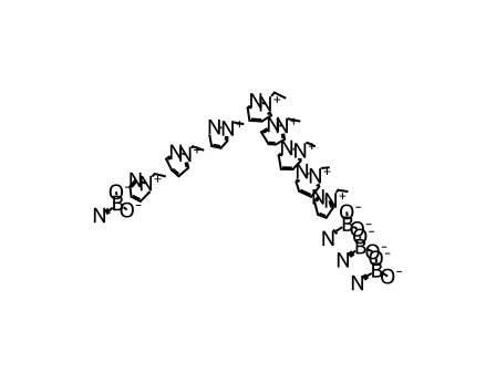 CC[n+]1ccccn1.CC[n+]1ccccn1.CC[n+]1ccccn1.CC[n+]1ccccn1.CC[n+]1ccccn1.CC[n+]1ccccn1.CC[n+]1ccccn1.CC[n+]1ccccn1.N#CB([O-])[O-].N#CB([O-])[O-].N#CB([O-])[O-].N#CB([O-])[O-]